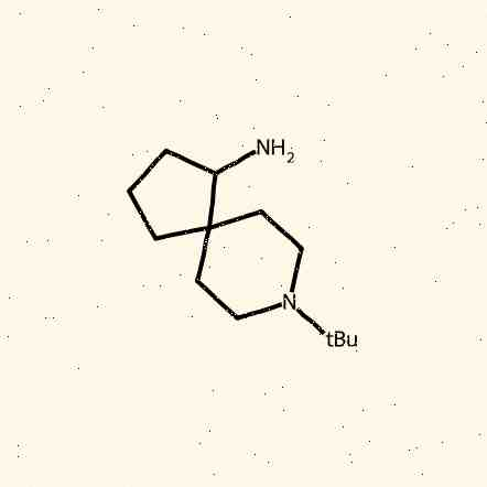 CC(C)(C)N1CCC2(CCCC2N)CC1